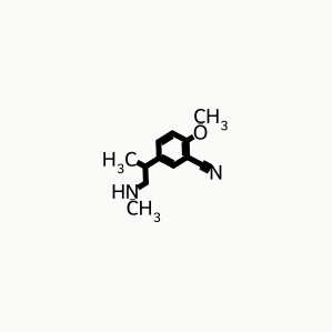 CNCC(C)c1ccc(OC)c(C#N)c1